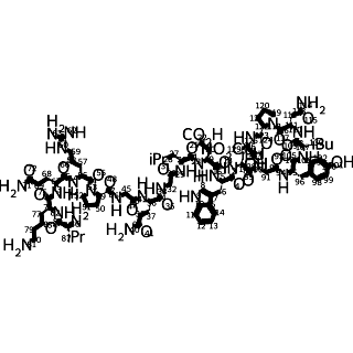 CC[C@H](C)[C@H](NC(=O)[C@H](Cc1c[nH]c2ccccc12)NC(=O)[C@H](CCC(=O)O)NC(=O)[C@H](CC(C)C)NC(=O)CNC(=O)[C@H](CCC(N)=O)NC(=O)CNC(=O)[C@@H]1CCCN1C(=O)[C@H](CCCNC(=N)N)NC(=O)[C@H](CCC(N)=O)NC(=O)[C@H](CCCCN)NC(=O)[C@@H](N)C(C)C)C(=O)NCC(=O)N[C@@H](Cc1ccc(O)cc1)C(=O)N[C@H](C(=O)N[C@@H](CC(N)=O)C(=O)N1CCC[C@H]1C(=O)N[C@@H](CO)C(=O)O)[C@@H](C)CC